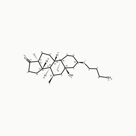 C[C@@H]1C[C@@]2(O)C[C@H](SCCCN)CC[C@]2(C)[C@H]2CC[C@]3(C)C(=O)CC[C@H]3[C@H]12